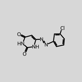 O=c1cc(N=Nc2cccc(Cl)c2)[nH]c(=O)[nH]1